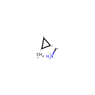 C.C1CC1.CN